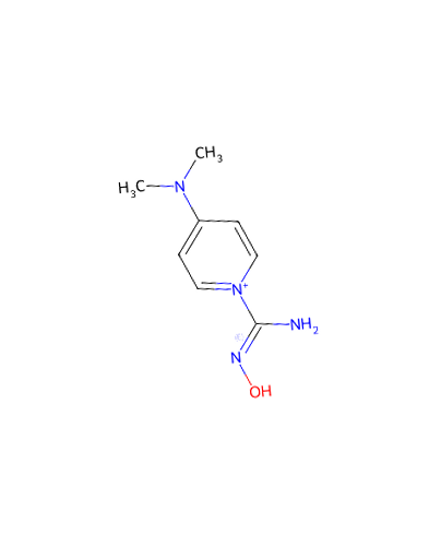 CN(C)c1cc[n+](/C(N)=N/O)cc1